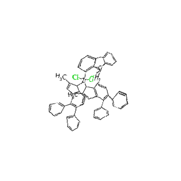 CC1=Cc2c(ccc(-c3ccccc3)c2-c2ccccc2)[CH]1[Zr]([Cl])([Cl])([c]1cccc2c1[SiH2]c1ccccc1-2)[CH]1C(C)=Cc2c1ccc(-c1ccccc1)c2-c1ccccc1